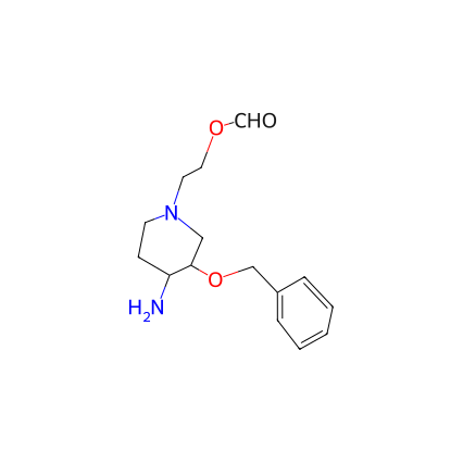 NC1CCN(CCOC=O)CC1OCc1ccccc1